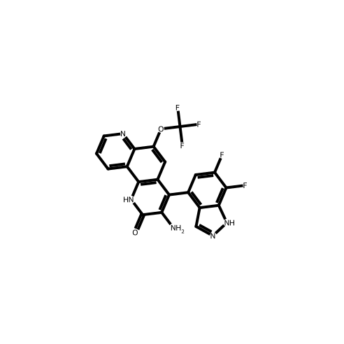 Nc1c(-c2cc(F)c(F)c3[nH]ncc23)c2cc(OC(F)(F)F)c3ncccc3c2[nH]c1=O